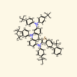 CC(C)(C)c1ccc(N(c2ccc(C(C)(C)C)cc2)c2ccc3c(c2)N(c2ccc4c(c2)C(C)(C)CC4(C)C)c2cccc4c2B3c2sc3cc5c(cc3c2N4c2ccc(C(C)(C)C)cc2)-c2ccccc2C5(C)C)cc1